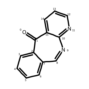 O=c1c2ccccc2cnc2ncccc12